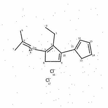 CCC1=[C]([Zr+2]=[C](C)C)CC=C1C1=CC=CC1.[Cl-].[Cl-]